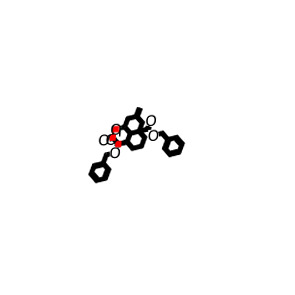 C=C1C[C@@H]2OC(=O)CC3(C(=O)OCc4ccccc4)CCCC(C(=O)OCc4ccccc4)(C1)C23